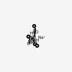 O=C([O-])CCc1ccccc1NC(=O)[C@H](CCCNC(=O)OCc1ccccc1)NC(=O)c1ccc2ccccc2n1.[Na+]